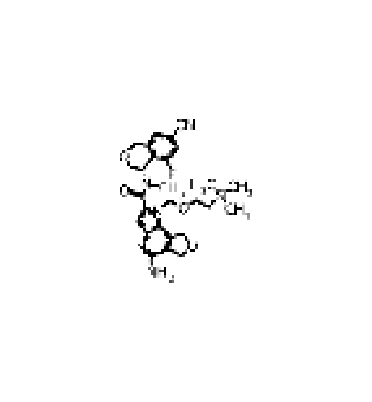 CN(C(=O)c1cc2nc(N)c3c(c2n1COCC[Si](C)(C)C)COC3)[C@@H]1COCc2cc(C#N)cc(F)c21